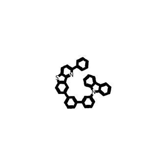 c1ccc(-c2ccc3sc4ccc(-c5cccc(-c6cccc(-n7c8ccccc8c8ccccc87)c6)c5)cc4c3n2)cc1